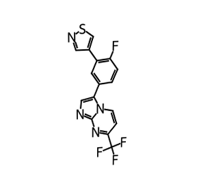 Fc1ccc(-c2cnc3nc(C(F)(F)F)ccn23)cc1-c1cnsc1